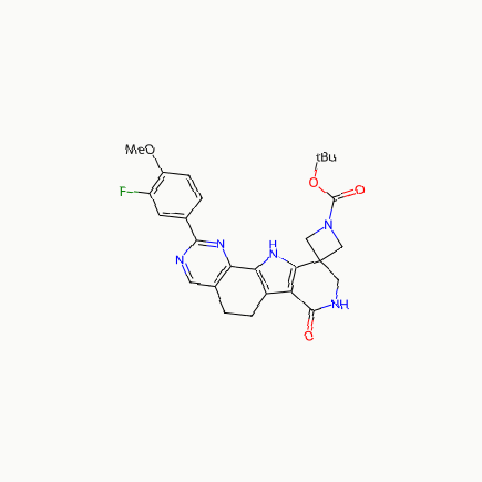 COc1ccc(-c2ncc3c(n2)-c2[nH]c4c(c2CC3)C(=O)NCC42CN(C(=O)OC(C)(C)C)C2)cc1F